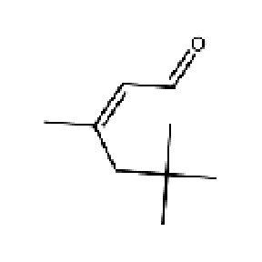 CC(=CC=O)CC(C)(C)C